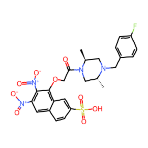 C[C@@H]1CN(C(=O)COc2c([N+](=O)[O-])c([N+](=O)[O-])cc3ccc(S(=O)(=O)O)cc23)[C@@H](C)CN1Cc1ccc(F)cc1